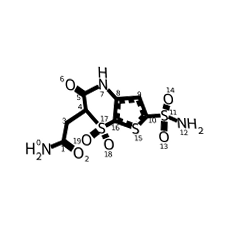 NC(=O)CC1C(=O)Nc2cc(S(N)(=O)=O)sc2S1(=O)=O